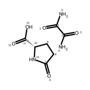 NC(=O)C(N)=O.O=C1CC[C@@H](C(=O)O)N1